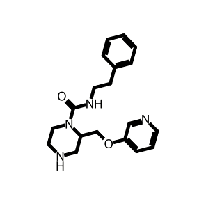 O=C(NCCc1ccccc1)N1CCNCC1COc1cccnc1